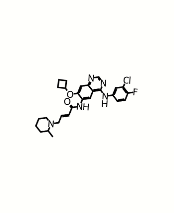 CC1CCCCN1C/C=C/C(=O)Nc1cc2c(Nc3ccc(F)c(Cl)c3)ncnc2cc1OC1CCC1